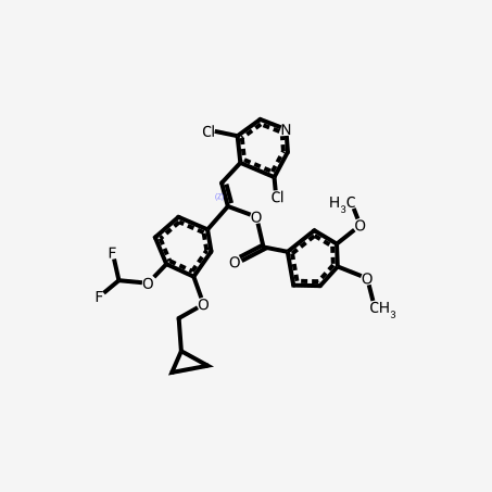 COc1ccc(C(=O)O/C(=C\c2c(Cl)cncc2Cl)c2ccc(OC(F)F)c(OCC3CC3)c2)cc1OC